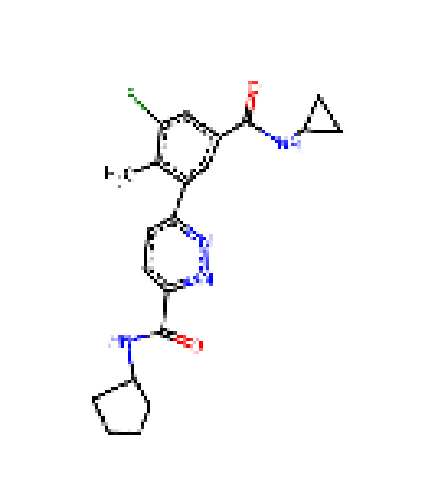 Cc1c(F)cc(C(=O)NC2CC2)cc1-c1ccc(C(=O)NC2CCCC2)nn1